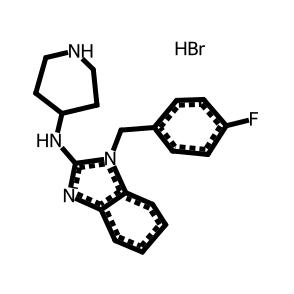 Br.Fc1ccc(Cn2c(NC3CCNCC3)nc3ccccc32)cc1